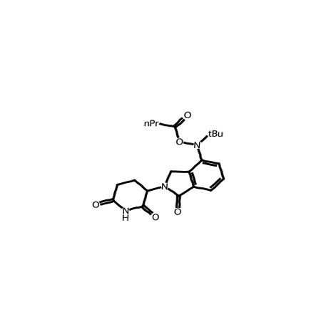 CCCC(=O)ON(c1cccc2c1CN(C1CCC(=O)NC1=O)C2=O)C(C)(C)C